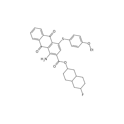 CCOc1ccc(Sc2cc(C(=O)OC3CCC4CC(F)CCC4C3)c(N)c3c2C(=O)c2ccccc2C3=O)cc1